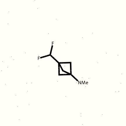 CNC12CC(C(F)F)(C1)C2